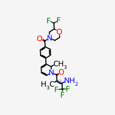 C/C(C(=O)N1C=CC=C(c2ccc(C(=O)N3CCOC(C(F)F)C3)cc2)C1C)=C(/N)C(F)(F)F